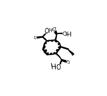 CCc1c(C(=O)O)ccc(C(=O)O)c1C(=O)O